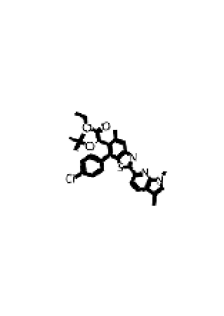 CCOC(=O)[C@@H](OC(C)(C)C)c1c(C)cc2nc(-c3ccc4c(C)cn(C)c4n3)sc2c1-c1ccc(Cl)cc1